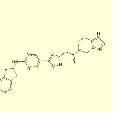 S=C(Cc1nnc(-c2cnc(NC3Cc4ccccc4C3)nc2)o1)N1CCc2[nH]nnc2C1